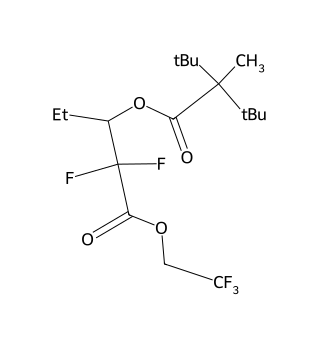 CCC(OC(=O)C(C)(C(C)(C)C)C(C)(C)C)C(F)(F)C(=O)OCC(F)(F)F